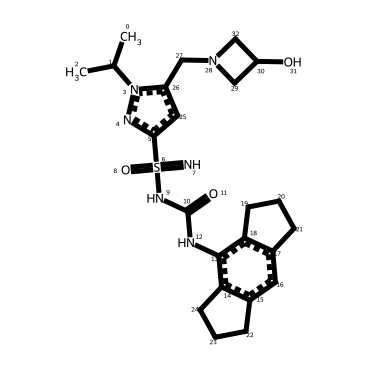 CC(C)n1nc(S(=N)(=O)NC(=O)Nc2c3c(cc4c2CCC4)CCC3)cc1CN1CC(O)C1